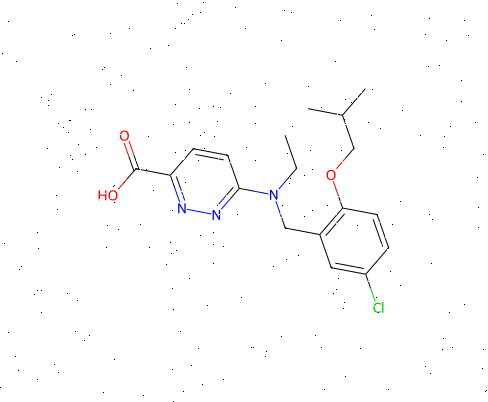 CCN(Cc1cc(Cl)ccc1OCC(C)C)c1ccc(C(=O)O)nn1